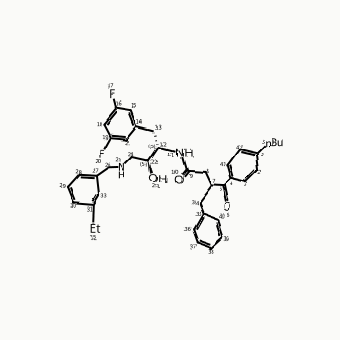 CCCCc1ccc(C(=O)C(CC(=O)N[C@@H](Cc2cc(F)cc(F)c2)[C@@H](O)CNCc2cccc(CC)c2)Cc2ccccc2)cc1